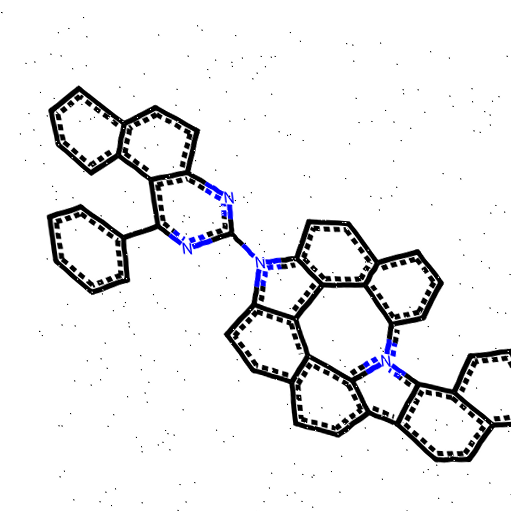 c1ccc(-c2nc(-n3c4ccc5cccc6c5c4c4c5c(ccc7c8ccc9ccccc9c8n6c75)ccc43)nc3ccc4ccccc4c23)cc1